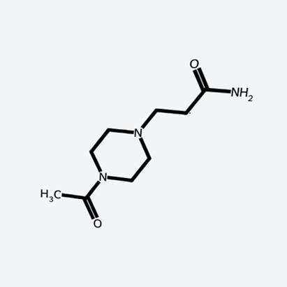 CC(=O)N1CCN(C[CH]C(N)=O)CC1